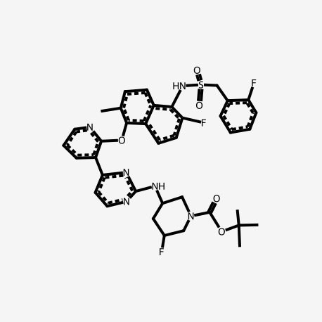 Cc1ccc2c(NS(=O)(=O)Cc3ccccc3F)c(F)ccc2c1Oc1ncccc1-c1ccnc(NC2CC(F)CN(C(=O)OC(C)(C)C)C2)n1